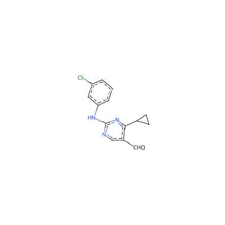 O=Cc1cnc(Nc2cccc(Cl)c2)nc1C1CC1